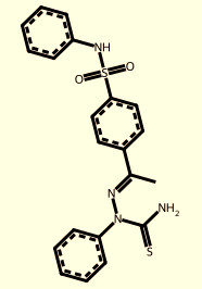 C/C(=N\N(C(N)=S)c1ccccc1)c1ccc(S(=O)(=O)Nc2ccccc2)cc1